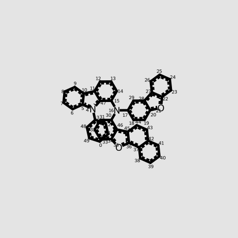 c1ccc(-n2c3ccccc3c3cccc(N(c4ccc5oc6ccccc6c5c4)c4cccc5oc6c7ccccc7ccc6c45)c32)cc1